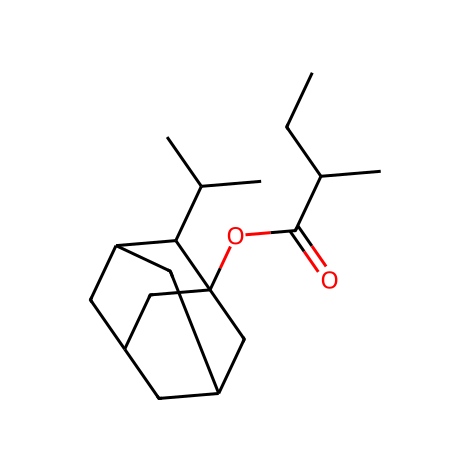 CCC(C)C(=O)OC12CC3CC(CC(C3)C1C(C)C)C2